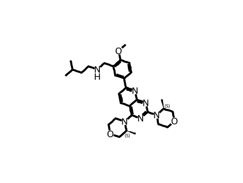 COc1ccc(-c2ccc3c(N4CCOC[C@@H]4C)nc(N4CCOC[C@@H]4C)nc3n2)cc1CNCCC(C)C